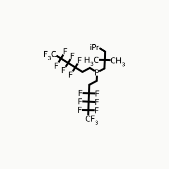 CC(C)CC(C)(C)CP(CCC(F)(F)C(F)(F)C(F)(F)C(F)(F)F)CCC(F)(F)C(F)(F)C(F)(F)C(F)(F)F